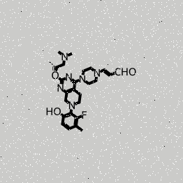 Cc1ccc(O)c(N2CCc3c(nc(O[C@H](C)CN(C)C)nc3N3CCN(C=CC=O)CC3)C2)c1F